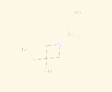 CC1(CC#N)CN(C(=O)OC(C)(C)C)C1